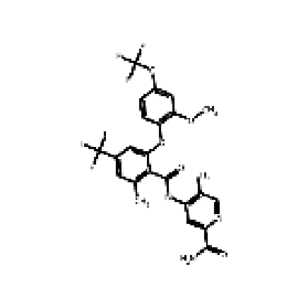 COc1cc(OC(F)(F)F)ccc1Oc1cc(C(F)(F)F)cc(C)c1C(=O)Nc1cc(C(N)=O)ncc1C